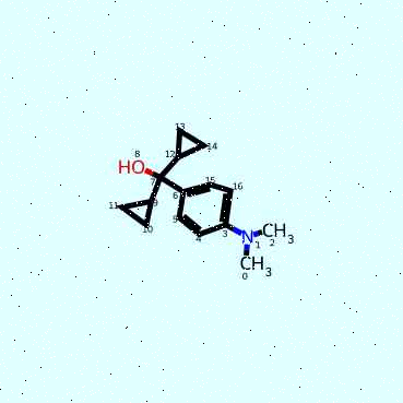 CN(C)c1ccc(C(O)(C2CC2)C2CC2)cc1